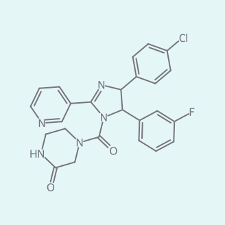 O=C1CN(C(=O)N2C(c3cccnc3)=NC(c3ccc(Cl)cc3)C2c2cccc(F)c2)CCN1